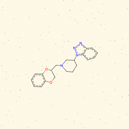 c1ccc2c(c1)OCC(CN1CCCC(n3nnc4ccccc43)C1)O2